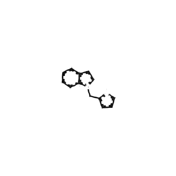 c1coc(Cn2ccc3ccccc32)c1